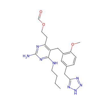 CCCCNc1nc(N)nc(CCOC=O)c1Cc1cc(Cc2nn[nH]n2)ccc1OC